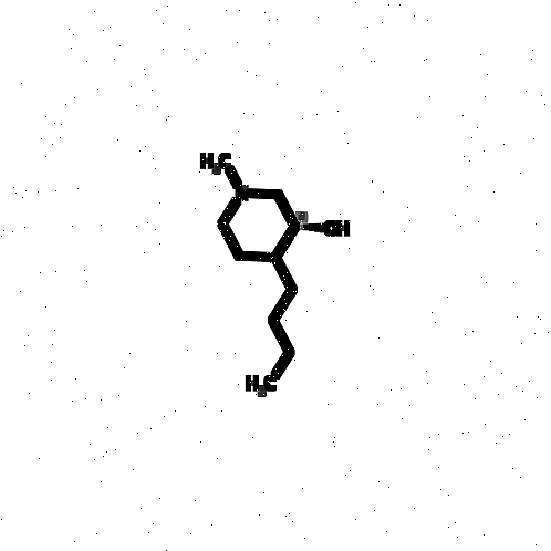 CCCCC1CCN(C)C[C@@H]1O